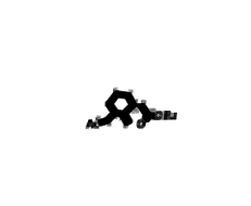 C=C1C(CC(C)=O)CCC[C@H]1CC(=O)OCC(C)C